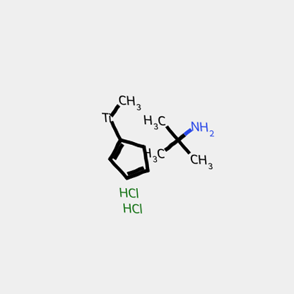 CC(C)(C)N.Cl.Cl.[CH3][Ti][C]1=CC=CC1